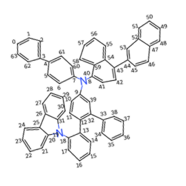 c1ccc(-c2ccc(N(c3ccc(-c4ccccc4-n4c5ccccc5c5ccccc54)c(-c4ccccc4)c3)c3ccc(-c4ccc5ccccc5c4)c4ccccc34)cc2)cc1